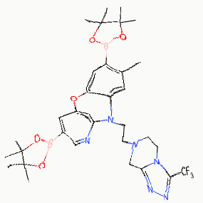 Cc1cc2c(cc1B1OC(C)(C)C(C)(C)O1)Oc1cc(B3OC(C)(C)C(C)(C)O3)cnc1N2CCN1CCn2c(nnc2C(F)(F)F)C1